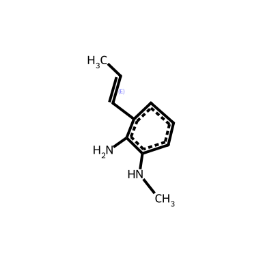 C/C=C/c1cccc(NC)c1N